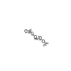 CC(=O)Nc1ccc(-c2ccnc(Nc3ccc(N4CCN(S(=O)(=O)Cc5ccccc5)CC4)cc3)n2)cc1